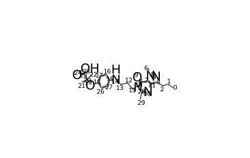 CCCc1nn(C)c2c(=O)n(CCCNc3ccc(OC(C)(C)C(=O)O)cc3)c(C)nc12